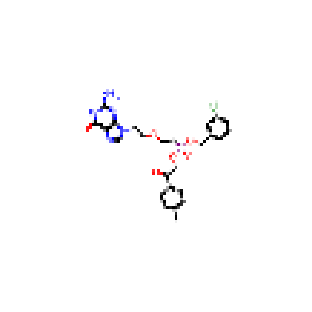 Cc1ccc(C(=O)COP(=O)(CCOCCn2cnc3c(=O)[nH]c(N)nc32)OCc2cccc(Cl)c2)cc1